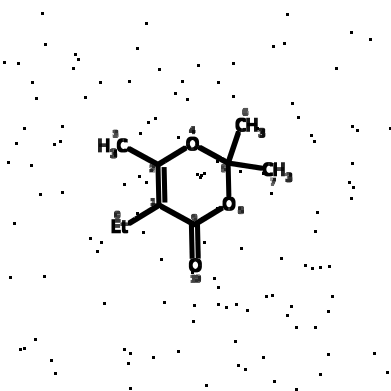 CCC1=C(C)OC(C)(C)OC1=O